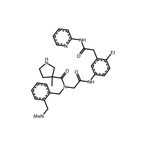 CCc1ccc(NC(=O)CN(Cc2ccccc2CNC)C(=O)C2(C)CCNC2)cc1CC(=O)Nc1ccccn1